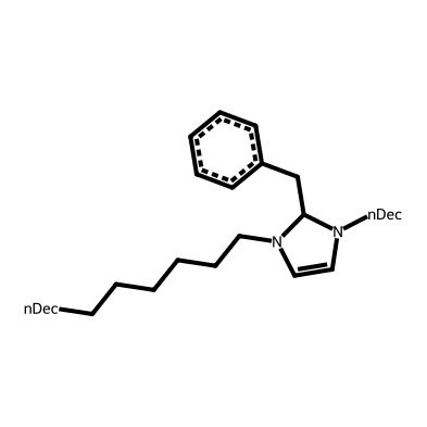 CCCCCCCCCCCCCCCCN1C=CN(CCCCCCCCCC)C1Cc1ccccc1